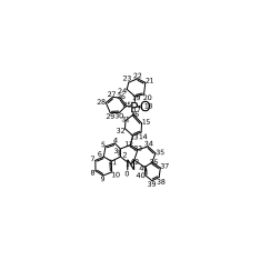 CN1c2c(ccc3ccccc23)C(C2=CC=C(P(=O)(C3=CC=CCC3)c3ccccc3)CC2)=C2C=Cc3ccccc3C21